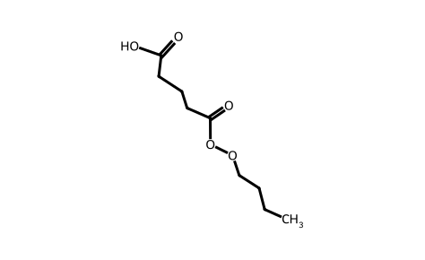 CCCCOOC(=O)CCCC(=O)O